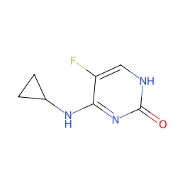 O=c1nc(NC2CC2)c(F)c[nH]1